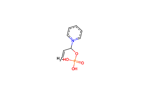 C=CC(OP(=O)(O)O)[n+]1ccccc1